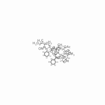 C/C=C(\C)C(=O)N(N=O)C(c1ccccc1)[C@@H](C)C(=O)O[C@H]1C[C@@]2(O)[C@@H](OC(=O)c3ccccc3)[C@@H]3[C@]4(OC(C)=O)CO[C@@H]4C[C@H](C)[C@@]3(C)C(=O)[C@H](OC(C)=O)C(=C1C)C2(C)C